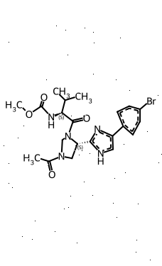 COC(=O)N[C@H](C(=O)N1CN(C(C)=O)C[C@H]1c1nc(-c2ccc(Br)cc2)c[nH]1)C(C)C